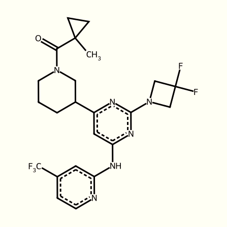 CC1(C(=O)N2CCCC(c3cc(Nc4cc(C(F)(F)F)ccn4)nc(N4CC(F)(F)C4)n3)C2)CC1